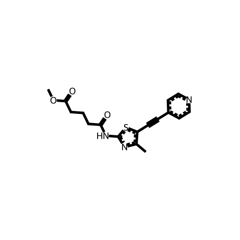 COC(=O)CCCC(=O)Nc1nc(C)c(C#Cc2ccncc2)s1